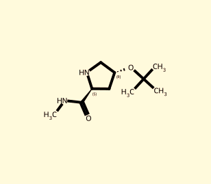 CNC(=O)[C@@H]1C[C@@H](OC(C)(C)C)CN1